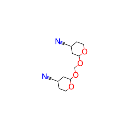 N#CC1CCOC(OCOC2CC(C#N)CCO2)C1